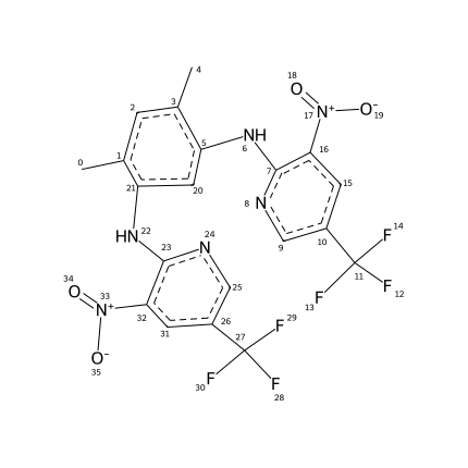 Cc1cc(C)c(Nc2ncc(C(F)(F)F)cc2[N+](=O)[O-])cc1Nc1ncc(C(F)(F)F)cc1[N+](=O)[O-]